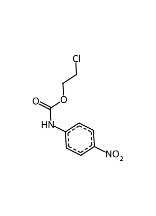 O=C(Nc1ccc([N+](=O)[O-])cc1)OCCCl